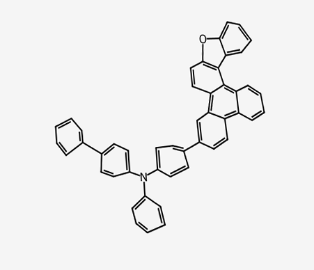 c1ccc(-c2ccc(N(c3ccccc3)c3ccc(-c4ccc5c6ccccc6c6c(ccc7oc8ccccc8c76)c5c4)cc3)cc2)cc1